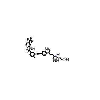 Cc1ccc(C(=O)Nc2cc(C(F)(F)F)ccn2)cc1C#Cc1ccc2c(c1)N=CCC2CC/C(C=N)=C/NCCO